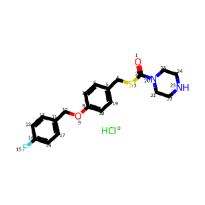 Cl.O=C(SCc1ccc(OCc2ccc(F)cc2)cc1)N1CCNCC1